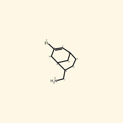 CCC1=CC2CCC(CN)C(C1)C2